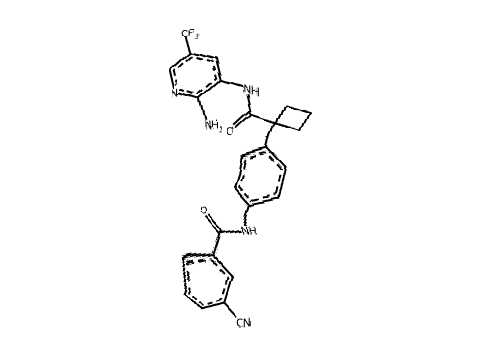 N#Cc1cccc(C(=O)Nc2ccc(C3(C(=O)Nc4cc(C(F)(F)F)cnc4N)CCC3)cc2)c1